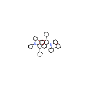 c1ccc(-c2ccccc2N(c2ccccc2)c2cc(C3CCCCC3)c3ccc4c(N(c5ccccc5)c5ccccc5-c5ccccc5)cc(C5CCCCC5)c5ccc2c3c54)cc1